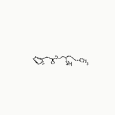 CCCC(S)CCOC(=O)Cc1cccs1